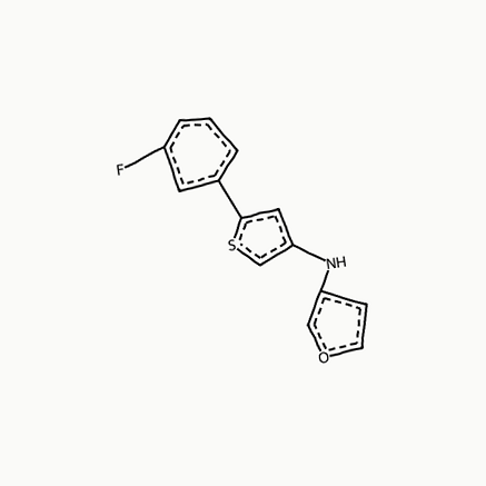 Fc1cccc(-c2cc(Nc3ccoc3)cs2)c1